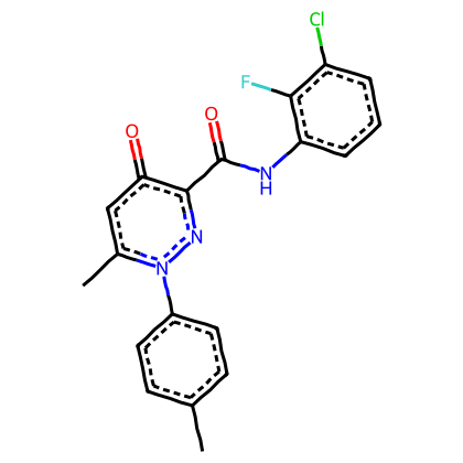 Cc1ccc(-n2nc(C(=O)Nc3cccc(Cl)c3F)c(=O)cc2C)cc1